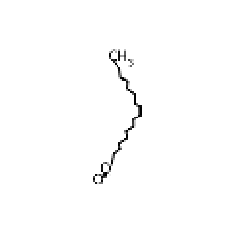 CCCCCCCC/C=C\CCCCCCCCO[C]=O